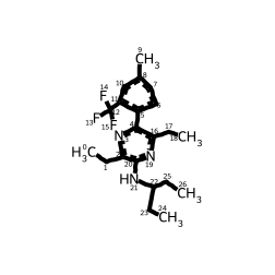 CCc1nc(-c2ccc(C)cc2C(F)(F)F)c(CC)nc1NC(CC)CC